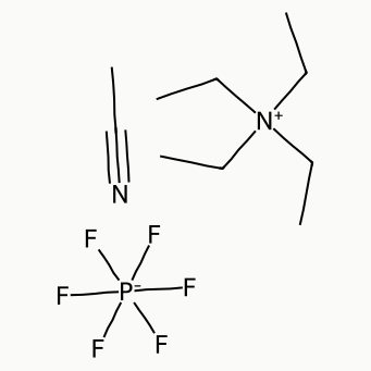 CC#N.CC[N+](CC)(CC)CC.F[P-](F)(F)(F)(F)F